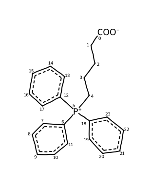 O=C([O-])CCCC[P+](c1ccccc1)(c1ccccc1)c1ccccc1